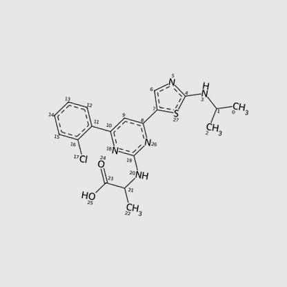 CC(C)Nc1ncc(-c2cc(-c3ccccc3Cl)nc(NC(C)C(=O)O)n2)s1